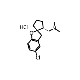 CN(C)C[C@H]1CCC[C@]12Cc1cc(Cl)ccc1O2.Cl